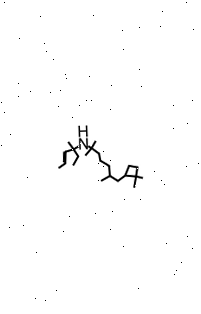 CC=CC(C)(CC)NC(C)(C)CCCC(C)CC1CCC1(C)C